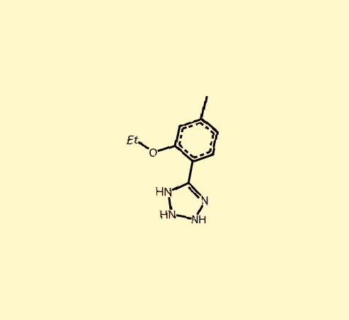 CCOc1cc(C)ccc1C1=NNNN1